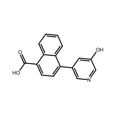 O=C(O)c1ccc(-c2cncc(O)c2)c2ccccc12